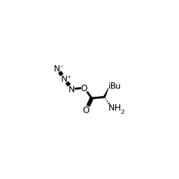 CC[C@H](C)[C@H](N)C(=O)ON=[N+]=[N-]